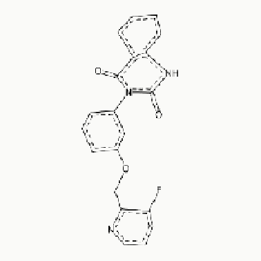 O=c1[nH]c2ccccc2c(=O)n1-c1cccc(OCc2ncccc2F)c1